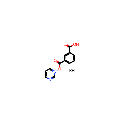 O=C(O)c1cccc(C(=O)O[n+]2cccnc2)c1.[KH]